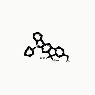 CCCCCCC1(CCCCCC)c2cc(CO)ccc2-c2cc3c4ccccc4n(-c4ccccc4)c3cc21